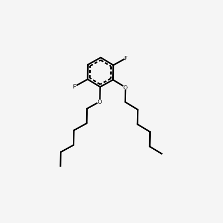 CCCCCCOc1c(F)ccc(F)c1OCCCCCC